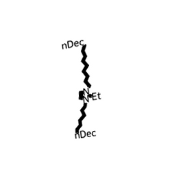 CCCCCCCCCCCCCCCCCCCN1C=CN(CCCCCCCCCCCCCCCC)C1CC